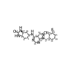 O=c1[nH]c2ccc(Nc3ncnc4c3cnn4Cc3cccc(F)c3Cl)cc2[nH]1